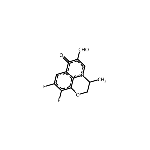 CC1COc2c(F)c(F)cc3c(=O)c(C=O)cn1c23